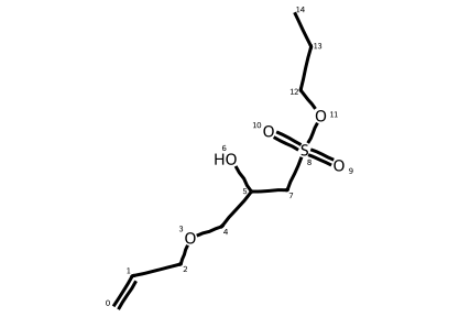 C=CCOCC(O)CS(=O)(=O)OCCC